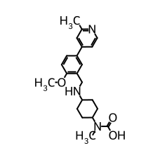 COc1ccc(-c2ccnc(C)c2)cc1CNC1CCC(N(C)C(=O)O)CC1